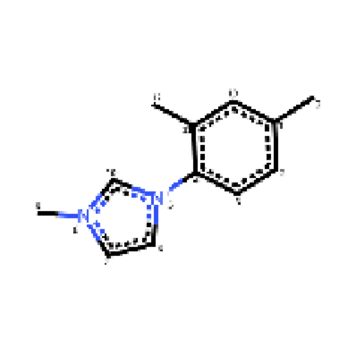 Cc1ccc(-[n+]2ccn(C)c2)c(C)c1